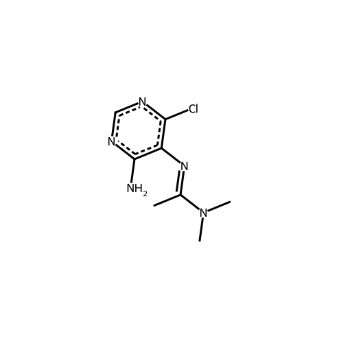 C/C(=N\c1c(N)ncnc1Cl)N(C)C